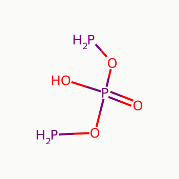 O=P(O)(OP)OP